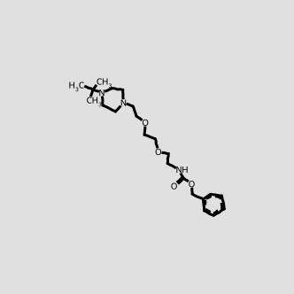 CC(C)(C)N1CCN(CCOCCOCCNC(=O)OCc2ccccc2)CC1